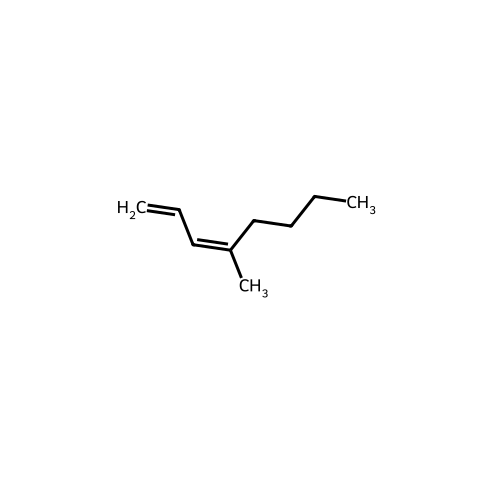 C=CC=C(C)CCCC